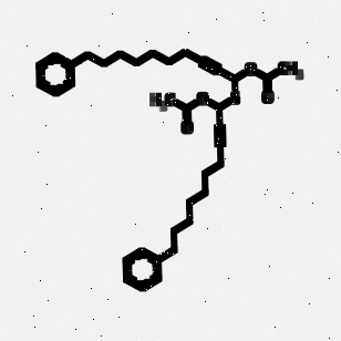 CC(=O)OC(C#CCCCCCCCc1ccccc1)SC(C#CCCCCCCCc1ccccc1)OC(C)=O